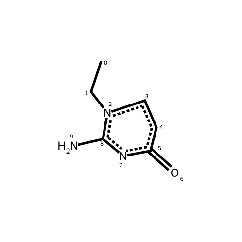 CCn1ccc(=O)nc1N